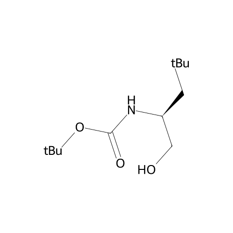 CC(C)(C)C[C@@H](CO)NC(=O)OC(C)(C)C